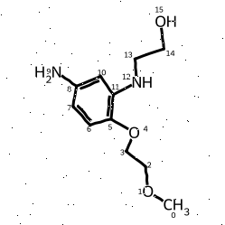 COCCOc1ccc(N)cc1NCCO